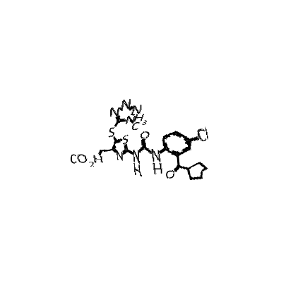 Cn1nnnc1Sc1sc(NC(=O)Nc2ccc(Cl)cc2C(=O)C2CCCC2)nc1CC(=O)O